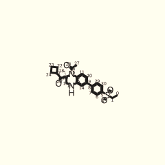 CCS(=O)(=O)c1ccc(-c2ccc3c(c2)NC[C@@](C)(C(=O)C2CCC2)N3C(C)=O)cc1